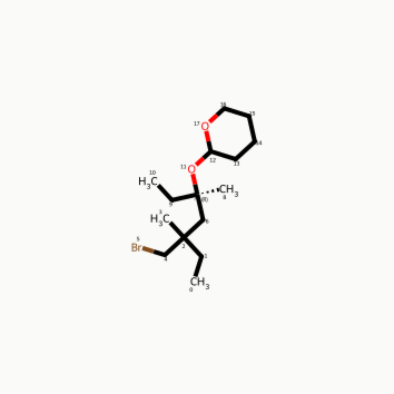 CCC(C)(CBr)C[C@@](C)(CC)OC1CCCCO1